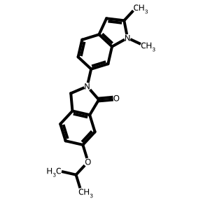 Cc1cc2ccc(N3Cc4ccc(OC(C)C)cc4C3=O)cc2n1C